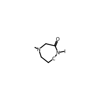 CN1CCCN(I)C(=O)C1